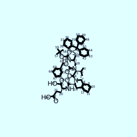 CC(C)[C@@H](C(=O)N1Cc2ccccc2C[C@H]1C(=O)N[C@@H](CCC(=O)O)C(=O)O)N(C[C@H](CSC(c1ccccc1)(c1ccccc1)c1ccccc1)NC(=O)OC(C)(C)C)C(=O)OCc1ccccc1